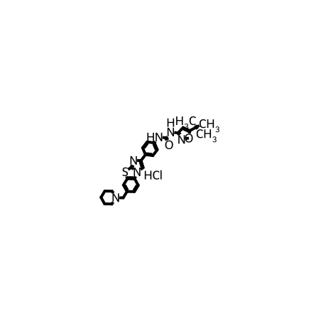 CC(C)(C)c1cc(NC(=O)Nc2ccc(-c3cn4c(n3)sc3cc(CN5CCCCC5)ccc34)cc2)no1.Cl